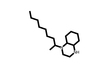 CCCCCCCC(C)N1CCNC2CCCCC21